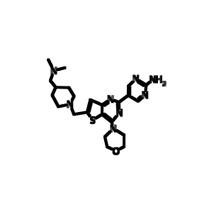 CN(C)CC1CCN(Cc2cc3nc(-c4cnc(N)nc4)nc(N4CCOCC4)c3s2)CC1